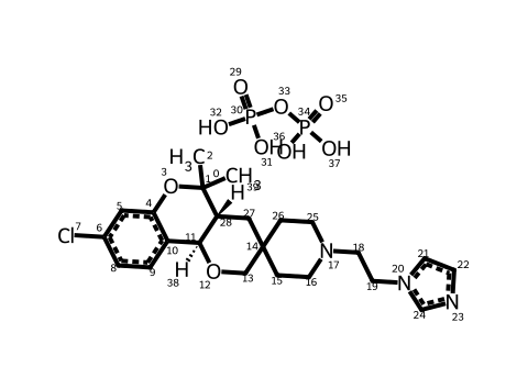 CC1(C)Oc2cc(Cl)ccc2[C@@H]2OCC3(CCN(CCn4ccnc4)CC3)C[C@H]21.O=P(O)(O)OP(=O)(O)O